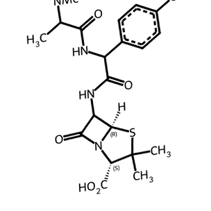 CNC(C)C(=O)NC(C(=O)NC1C(=O)N2[C@@H]1SC(C)(C)[C@@H]2C(=O)O)c1ccc(O)cc1